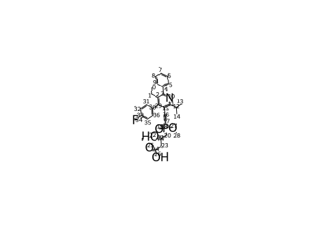 CCc1c(-c2ccccc2)nc(C(C)C)c(C#CP(=O)(C[C@@H](O)CC(=O)O)OC)c1-c1ccc(F)cc1